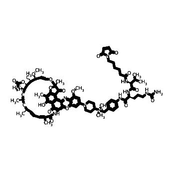 COc1cc(N2CCC([N+](C)(C)Cc3ccc(NC(=O)[C@H](CCCNC(N)=O)NC(=O)[C@@H](NC(=O)CCCCCN4C(=O)C=CC4=O)C(C)C)cc3)CC2)cc2oc3c4c(=O)c5c(O)c(C)c6c(c5c-3nc12)C(=O)[C@@](C)(O/C=C/[C@H](OC)[C@@H](C)[C@@H](OC(C)=O)[C@H](C)C[C@H](C)C[C@@H](C)/C=C/C=C(/C)C(=O)N4)O6